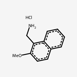 COc1ccc2ccccc2c1CN.Cl